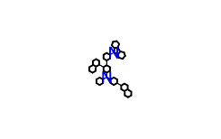 c1ccc(N(c2ccc(-c3ccc4ccccc4c3)cc2)c2ccc(-c3cccc(-n4c5ccccc5c5ccccc54)c3)c(-c3cccc4ccccc34)c2)cc1